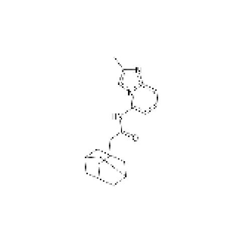 Cc1cn2c(NC(=O)CC34CC5CC(CC(C5)C3)C4)cccc2n1